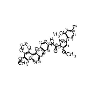 COc1cn(-c2ccc(F)cc2C)nc1C(=O)Nc1ccc(Oc2ccnc3cc(OC)c4c(c23)OCCO4)c(F)c1